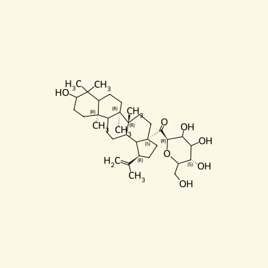 C=C(C)[C@@H]1CC[C@]2(C(=O)[C@@H]3OC(CO)[C@@H](O)C(O)C3O)CC[C@]3(C)C(CCC4[C@@]5(C)CCC(O)C(C)(C)C5CC[C@]43C)C12